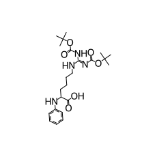 CC(C)(C)OC(=O)N=C(NCCCCC(Nc1ccccc1)C(=O)O)NC(=O)OC(C)(C)C